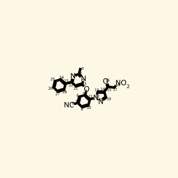 Cc1nc(Oc2cc(C#N)ccc2-n2cc(C(=O)C[N+](=O)[O-])cn2)cc(-c2ccccc2)n1